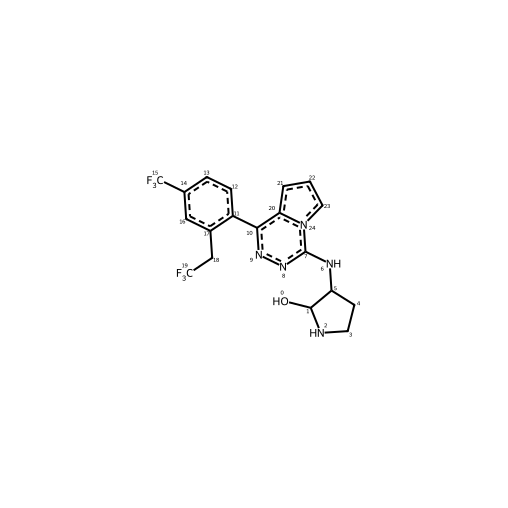 OC1NCCC1Nc1nnc(-c2ccc(C(F)(F)F)cc2CC(F)(F)F)c2cccn12